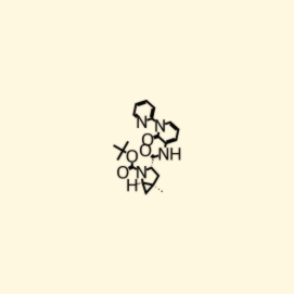 CC(C)(C)OC(=O)N1[C@H](C(=O)Nc2cccn(-c3ccccn3)c2=O)C[C@@]2(C)C[C@@H]12